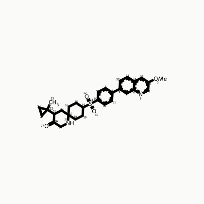 COc1cnc2cc(-c3ccc(S(=O)(=O)C4CCC5(CC4)CC(C4(C)CC4)C(=O)CN5)cc3)ccc2c1